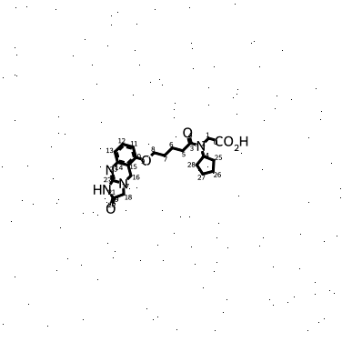 O=C(O)CN(C(=O)CCCCOc1cccc2c1CN1CC(=O)NC1=N2)C1CCCC1